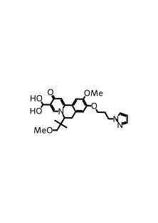 COCC(C)(C)C1Cc2cc(OCCCn3cccn3)c(OC)cc2-c2cc(=O)c(C(O)O)cn21